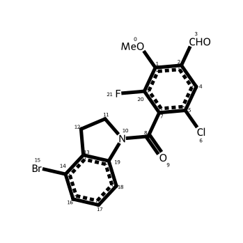 COc1c(C=O)cc(Cl)c(C(=O)N2CCc3c(Br)cccc32)c1F